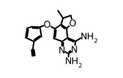 C#Cc1cccc(Oc2cc3nc(N)nc(N)c3c3c2C(C)CO3)c1